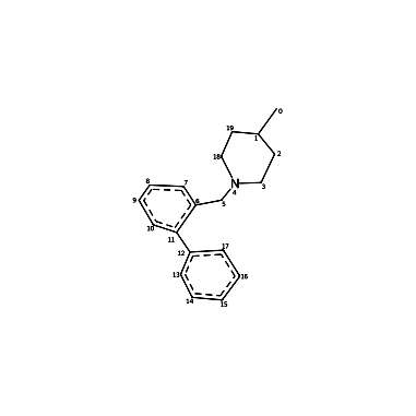 CC1CCN(Cc2ccccc2-c2ccccc2)CC1